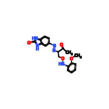 COc1ccccc1NOCC(N=Nc1ccc2[nH]c(=O)[nH]c2c1)C(C)=O